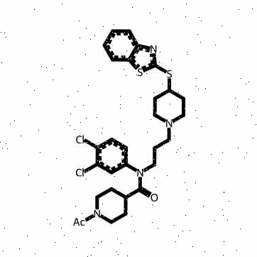 CC(=O)N1CCC(C(=O)N(CCCN2CCC(Sc3nc4ccccc4s3)CC2)c2ccc(Cl)c(Cl)c2)CC1